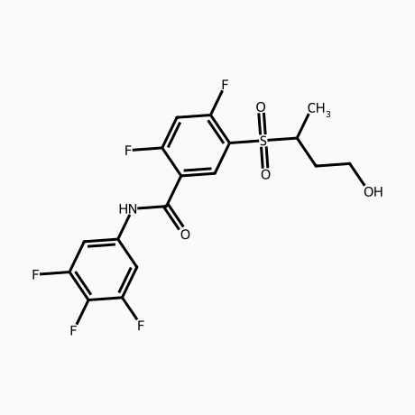 CC(CCO)S(=O)(=O)c1cc(C(=O)Nc2cc(F)c(F)c(F)c2)c(F)cc1F